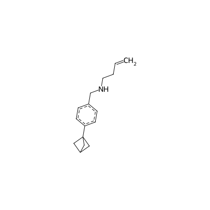 C=CCCNCc1ccc(C23CC(C2)C3)cc1